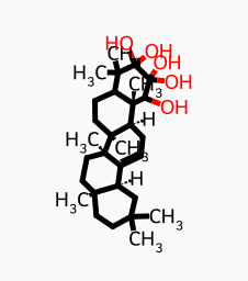 CC1(C)CC[C@]2(C)CC[C@]3(C)C(=CC[C@@H]4[C@]5(C)C(CC[C@]43C)C(C)(C)C(O)(O)C(O)(O)C5O)[C@H]2C1